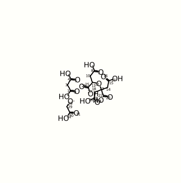 O=C(O)CC(=O)O.O=C(O)CC(OC(CC(=O)O)(CC(=O)O)C(=O)O)C(=O)O.[O]CC(=O)O